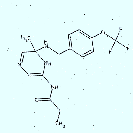 CCC(=O)NC1=CN=CC(C)(NCc2ccc(OC(F)(F)F)cc2)N1